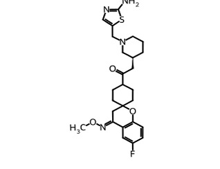 CO/N=C1\CC2(CCC(C(=O)C[C@@H]3CCCN(Cc4cnc(N)s4)C3)CC2)Oc2ccc(F)cc21